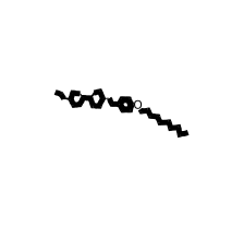 CCCCCCCCCCOc1ccc(CC[C@H]2CC[C@H]([C@H]3CC[C@H](CCC)CC3)CC2)cc1